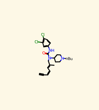 C#C/C=C\C=C(/C)CN(C(=O)Nc1ccc(Cl)c(Cl)c1)C1CCN(CCCC)CC1